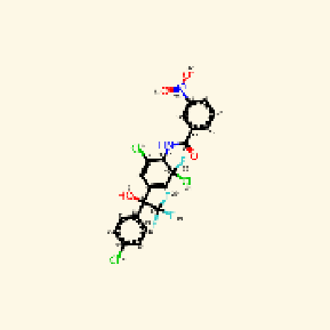 O=C(NC1C(Cl)=CC(C(O)(c2ccc(Cl)cc2)C(F)(F)F)=CC1(F)Cl)c1cccc([N+](=O)[O-])c1